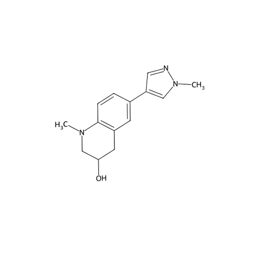 CN1CC(O)Cc2cc(-c3cnn(C)c3)ccc21